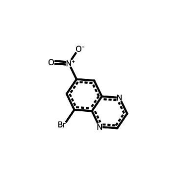 O=[N+]([O-])c1cc(Br)c2nccnc2c1